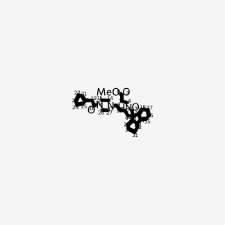 COC(=O)CCNC(=O)C1(CCCCN2CCN(C(=O)Cc3ccccc3)CC2)c2ccccc2-c2ccccc21